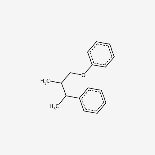 CC(COc1cc[c]cc1)C(C)c1ccccc1